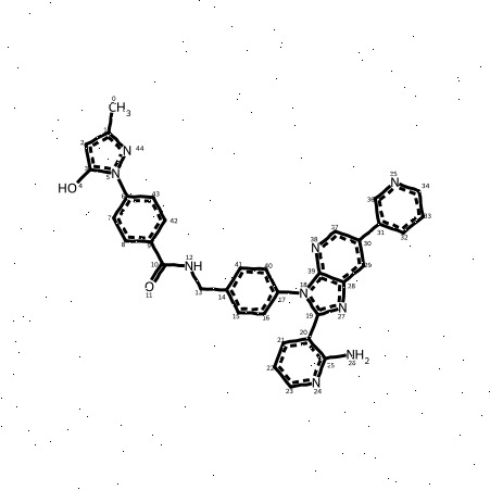 Cc1cc(O)n(-c2ccc(C(=O)NCc3ccc(-n4c(-c5cccnc5N)nc5cc(-c6cccnc6)cnc54)cc3)cc2)n1